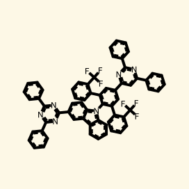 FC(F)(F)c1ccccc1-c1cc(-c2cc(-c3ccccc3)nc(-c3ccccc3)n2)cc(-c2ccccc2C(F)(F)F)c1-n1c2ccccc2c2cc(-c3nc(-c4ccccc4)nc(-c4ccccc4)n3)ccc21